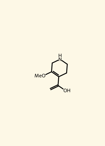 C=C(O)C1=C(OC)CNCC1